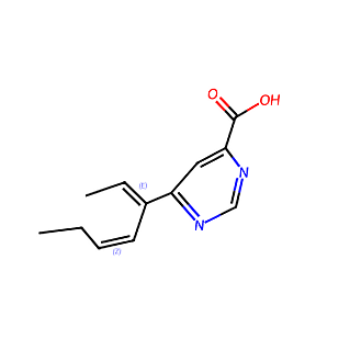 C/C=C(\C=C/CC)c1cc(C(=O)O)ncn1